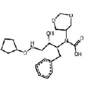 O=C(O)N(C1COCOC1)[C@@H](Cc1ccccc1)[C@@H](O)CNOC1CCCC1